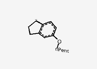 CCCCCOc1ccc2c(c1)CC[C]2